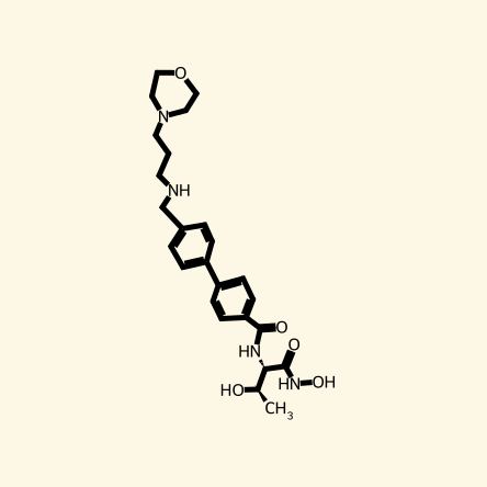 C[C@@H](O)[C@H](NC(=O)c1ccc(-c2ccc(CNCCCN3CCOCC3)cc2)cc1)C(=O)NO